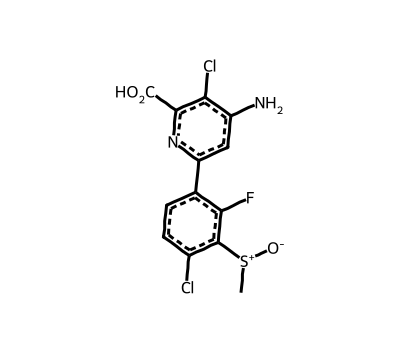 C[S+]([O-])c1c(Cl)ccc(-c2cc(N)c(Cl)c(C(=O)O)n2)c1F